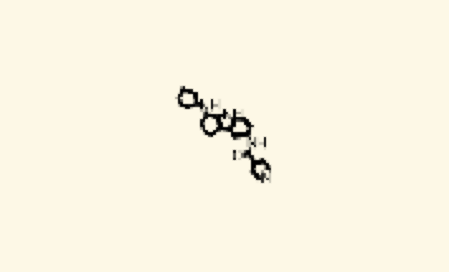 O=C(Nc1ccc2[nH]c3c(c2c1)CCCC3NC1CCCCC1)c1ccncc1